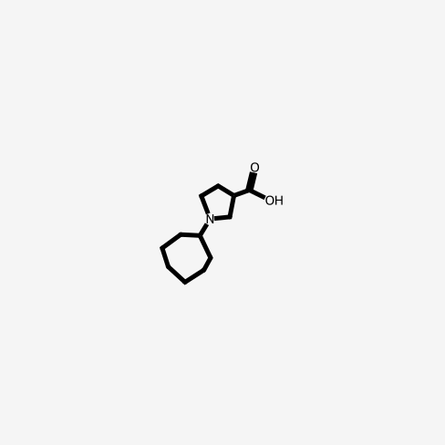 O=C(O)C1CCN(C2CCCCCC2)C1